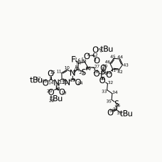 CC(C)(C)OC(=O)O[C@H]1[C@H](F)[C@H](n2ccc(N(C(=O)OC(C)(C)C)C(=O)OC(C)(C)C)nc2=O)S[C@@H]1COP(=O)(OCCCCSC(=O)C(C)(C)C)Oc1ccccc1